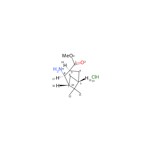 COC(=O)[C@H]1C[C@H]2C[C@@H]([C@H]1N)C2(C)C.Cl